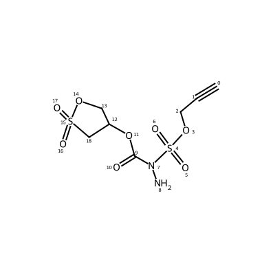 C#CCOS(=O)(=O)N(N)C(=O)OC1COS(=O)(=O)C1